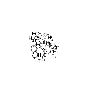 CC(C)[Si](NC(=O)c1ccc2ccccc2c1C(=O)N[Si](C(C)C)(C(C)C)C(C)C)(C(C)C)C(C)C.[Cl-].[Cl-].[Ti+2]